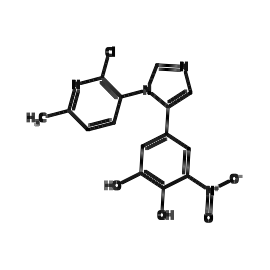 Cc1ccc(-n2cncc2-c2cc(O)c(O)c([N+](=O)[O-])c2)c(Cl)n1